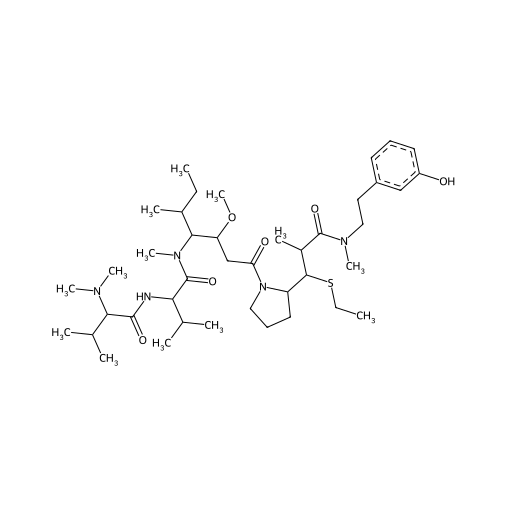 CCSC(C(C)C(=O)N(C)CCc1cccc(O)c1)C1CCCN1C(=O)CC(OC)C(C(C)CC)N(C)C(=O)C(NC(=O)C(C(C)C)N(C)C)C(C)C